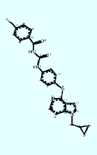 O=C(NC(=S)Nc1ccc(Oc2ncnc3c2ncn3CC2CC2)cc1)c1ccc(I)cc1